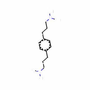 CN(C)CCCc1ccc(CCCN(C)C)cc1